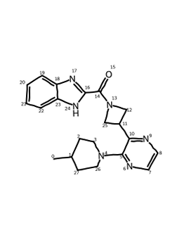 CC1CCN(c2nccnc2C2CN(C(=O)c3nc4ccccc4[nH]3)C2)CC1